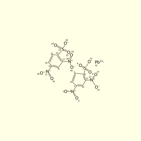 O=[N+]([O-])c1ccc(S(=O)(=O)[O-])c([N+](=O)[O-])c1.O=[N+]([O-])c1ccc(S(=O)(=O)[O-])c([N+](=O)[O-])c1.[Pb+2]